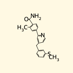 CSc1cccc(Cc2ccnc(-c3ccc(C(N)=O)c(C)c3)c2)c1